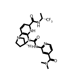 C[C@@H](NC(=O)C1C=CC2=C(N1)N(C(=O)Nc1cc(C(=O)N(C)C)ccn1)[C@H]1CCN2C1)C(F)(F)F